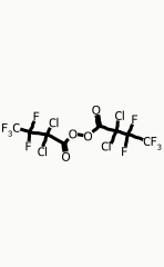 O=C(OOC(=O)C(Cl)(Cl)C(F)(F)C(F)(F)F)C(Cl)(Cl)C(F)(F)C(F)(F)F